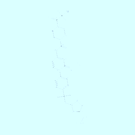 CC(C)(N)C(=O)N1CCN(C(=O)Nc2ccn(-c3ccc(C(C)(C)CN4CC[C@H](CN)C4)cc3)c(=O)n2)CC1.Cl